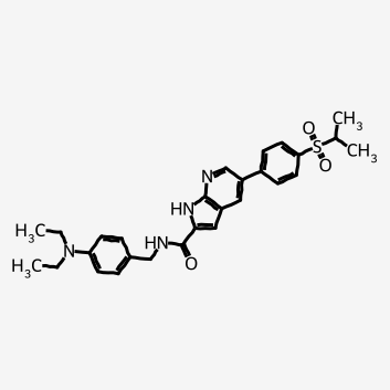 CCN(CC)c1ccc(CNC(=O)c2cc3cc(-c4ccc(S(=O)(=O)C(C)C)cc4)cnc3[nH]2)cc1